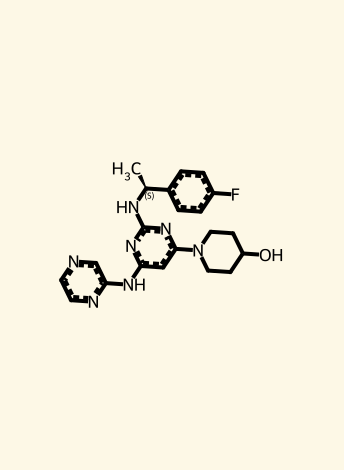 C[C@H](Nc1nc(Nc2cnccn2)cc(N2CCC(O)CC2)n1)c1ccc(F)cc1